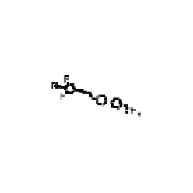 CCc1ccc([C@H]2CC[C@H](C=CC#Cc3cc(F)c(C#N)c(F)c3)CC2)cc1